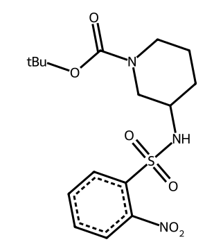 CC(C)(C)OC(=O)N1CCCC(NS(=O)(=O)c2ccccc2[N+](=O)[O-])C1